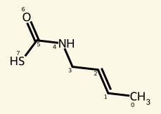 CC=CCNC(=O)S